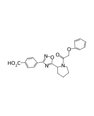 O=C(O)c1ccc(-c2noc(C3CCCCN3C(=O)COc3ccccc3)n2)cc1